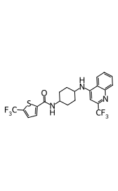 O=C(NC1CCC(Nc2cc(C(F)(F)F)nc3ccccc23)CC1)c1ccc(C(F)(F)F)s1